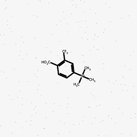 C[N+](C)(C)c1ccc(C(=O)O)c(C(F)(F)F)c1